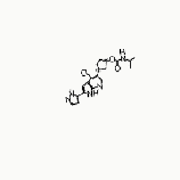 CC(C)NC(=O)O[C@@H]1CC[C@H](c2cnc3[nH]c(-c4ccnn4C)cc3c2Cl)C1